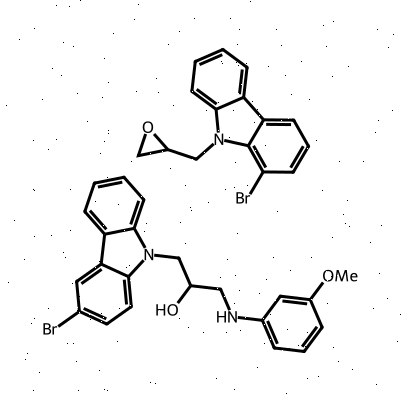 Brc1cccc2c3ccccc3n(CC3CO3)c12.COc1cccc(NCC(O)Cn2c3ccccc3c3cc(Br)ccc32)c1